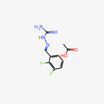 CC(=O)O.N=C(N)NN=Cc1cccc(F)c1F